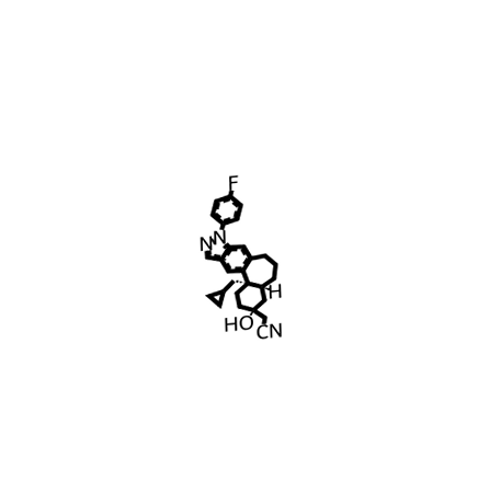 N#CC[C@@]1(O)CC[C@@]2(CC3CC3)c3cc4cnn(-c5ccc(F)cc5)c4cc3CCC[C@H]2C1